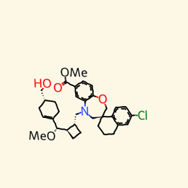 COC(=O)c1ccc2c(c1)N(C[C@@H]1CC[C@H]1[C@H](OC)C1=CC[C@H](CO)CC1)C[C@@]1(CCCc3cc(Cl)ccc31)CO2